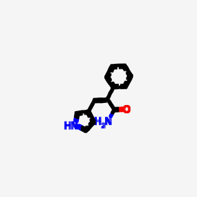 NC(=O)C(=Cc1cc[nH]c1)c1ccccc1